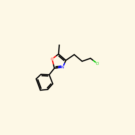 Cc1oc(-c2ccccc2)nc1CCCCl